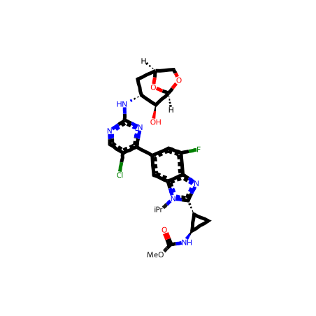 COC(=O)N[C@@H]1C[C@H]1c1nc2c(F)cc(-c3nc(N[C@@H]4C[C@H]5CO[C@H](O5)[C@H]4O)ncc3Cl)cc2n1C(C)C